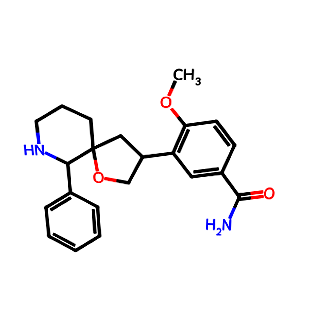 COc1ccc(C(N)=O)cc1C1COC2(CCCNC2c2ccccc2)C1